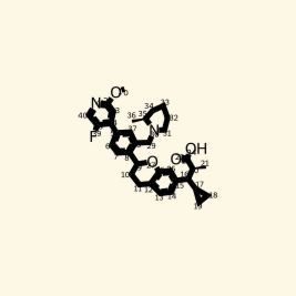 COc1cc(-c2ccc(C3CCc4ccc(C(C5CC5)[C@H](C)C(=O)O)cc4O3)c(CN3CCCC[C@@H]3C)c2)c(F)cn1